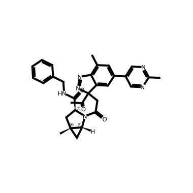 CC(=O)C1(CC(=O)N2[C@H](C(=O)NCc3ccccc3)C[C@@]3(C)C[C@@H]23)N=Nc2c(C)cc(-c3cnc(C)nc3)cc21